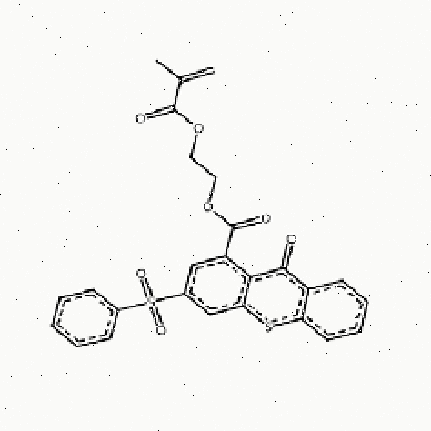 C=C(C)C(=O)OCCOC(=O)c1cc(S(=O)(=O)c2ccccc2)cc2sc3ccccc3c(=O)c12